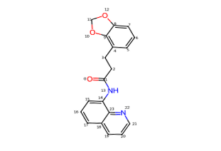 O=C(CCc1cccc2c1OCO2)Nc1cccc2cccnc12